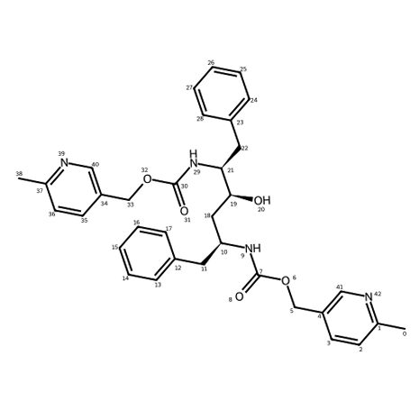 Cc1ccc(COC(=O)N[C@@H](Cc2ccccc2)C[C@H](O)[C@H](Cc2ccccc2)NC(=O)OCc2ccc(C)nc2)cn1